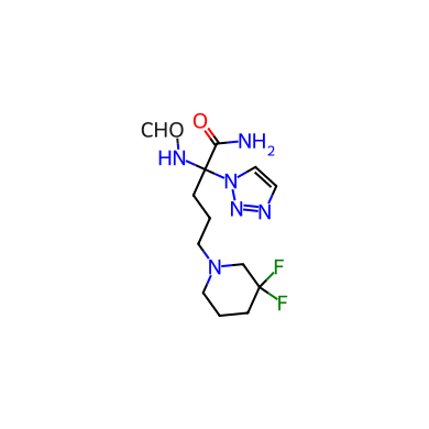 NC(=O)C(CCCN1CCCC(F)(F)C1)(NC=O)n1ccnn1